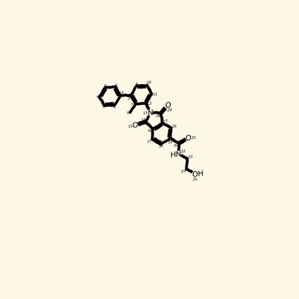 Cc1c(-c2ccccc2)cccc1N1C(=O)c2ccc(C(=O)NCCO)cc2C1=O